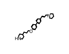 C(=Cc1ccc(-c2ccc(OCCCC3CCNCC3)cc2)cc1)CN1CCCCC1